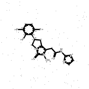 Cn1c(CC(=O)Nc2ncco2)c2n(c1=S)C[C@@H](c1c(F)ccc(F)c1F)C2